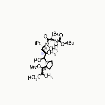 CO[C@H]([C@@H](C)C(=O)O)[C@@H]1CCCN1C(O)/C(C)=C/[C@H](C(C)C)N(C)C(=O)[C@@H](NC(=O)OC(C)(C)C)C(C)(C)C